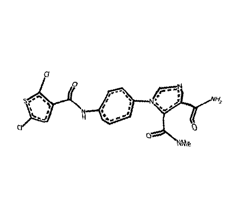 CNC(=O)c1c(C(N)=O)ncn1-c1ccc(NC(=O)c2cc(Cl)sc2Cl)cc1